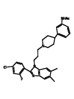 CC(=O)Nc1cccc(C2CCN(CCCn3c(-c4ccc(Cl)cc4F)nc4cc(C)c(C)cc43)CC2)c1